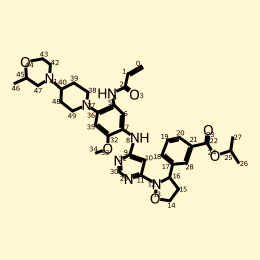 C=CC(=O)Nc1cc(Nc2cc(N3OCCC3c3cccc(C(=O)OC(C)C)c3)ncn2)c(OC)cc1N1CCC(N2CCOC(C)C2)CC1